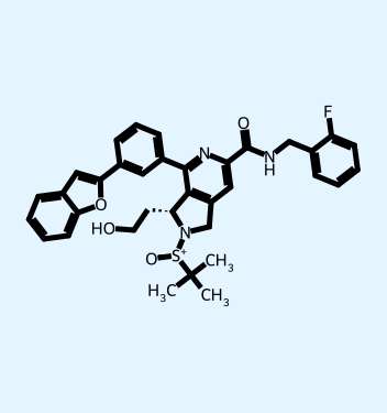 CC(C)(C)[S+]([O-])N1Cc2cc(C(=O)NCc3ccccc3F)nc(-c3cccc(-c4cc5ccccc5o4)c3)c2[C@H]1CCO